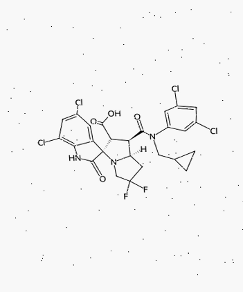 O=C(O)C1[C@@H](C(=O)N(CC2CC2)c2cc(Cl)cc(Cl)c2)[C@H]2CC(F)(F)CN2[C@]12C(=O)Nc1c(Cl)cc(Cl)cc12